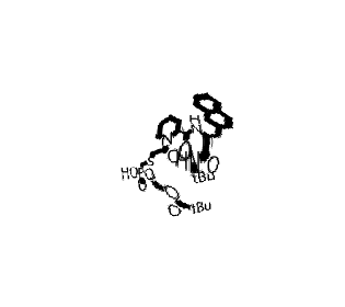 CC(C)(C)NC(=O)[C@H](Cc1ccc2ccccc2c1)NC(=O)[C@@H]1CCCCN1C(=O)CSCP(=O)(O)OCOC(=O)C(C)(C)C